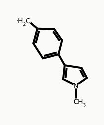 [CH2]c1ccc(-c2ccn(C)c2)cc1